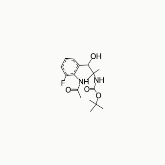 CC(=O)Nc1c(F)cccc1C(O)C(C)(C)NC(=O)OC(C)(C)C